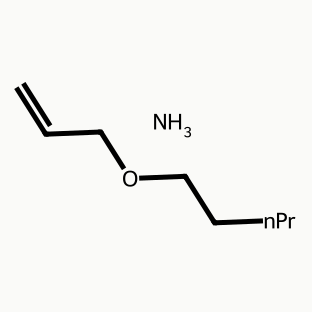 C=CCOCCCCC.N